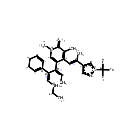 C=C1C(C)=C(/C=C(\C)c2cnn(C(F)(F)F)c2)C(C(=C/C)/C(=C\NCC)C2=CCCC=C2)=CN1C